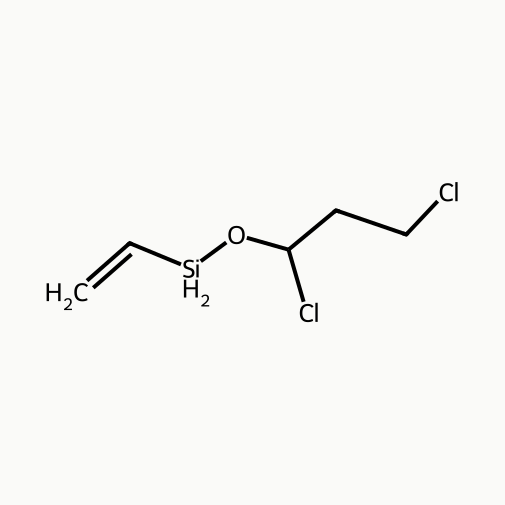 C=C[SiH2]OC(Cl)CCCl